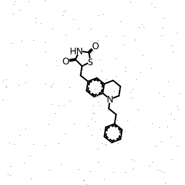 O=C1NC(=O)C(Cc2ccc3c(c2)CCCN3CCc2ccccc2)S1